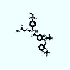 CCS(=O)(=O)c1ccc([C@H](COCC(=O)O)NC(=O)c2ccc3c(c2)nc(C(F)(F)F)n3Cc2cccc3c2OC(F)(F)O3)cc1